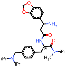 CC(C)N(C)C(=O)[C@@H](Cc1ccc(CN(C(C)C)C(C)C)cc1)NC(=O)CC(N)c1ccc2c(c1)OCO2